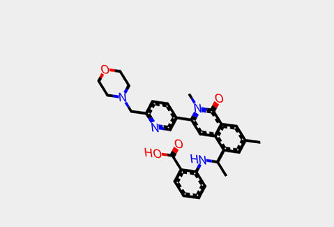 Cc1cc(C(C)Nc2ccccc2C(=O)O)c2cc(-c3ccc(CN4CCOCC4)nc3)n(C)c(=O)c2c1